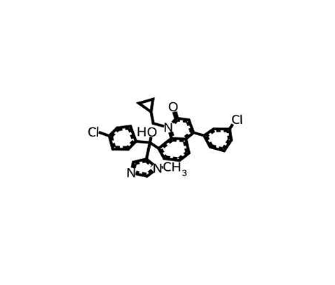 Cn1cncc1C(O)(c1ccc(Cl)cc1)c1cccc2c(-c3cccc(Cl)c3)cc(=O)n(CC3CC3)c12